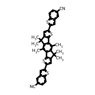 Cc1c2c(c(C)c3c1C(C)(C)c1cc(-c4cc5cc(C#N)ccc5s4)sc1-3)C(C)(C)c1cc(-c3cc4cc(C#N)ccc4s3)sc1-2